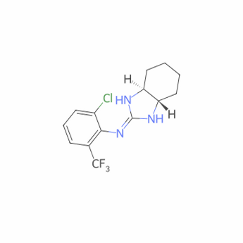 FC(F)(F)c1cccc(Cl)c1N=C1N[C@H]2CCCC[C@@H]2N1